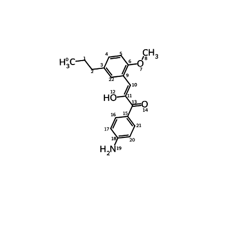 CCCc1ccc(OC)c(C=C(O)C(=O)c2ccc(N)cc2)c1